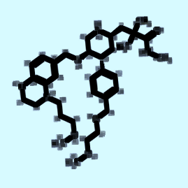 CNC(=O)C(C)(C)C[C@H]1C[C@H](c2ccc(COCCOC)cc2)[C@@H](OCc2ccc3c(c2)N(CCCOC)CCO3)CN1